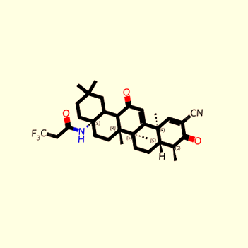 C[C@@H]1C(=O)C(C#N)=C[C@]2(C)C3=CC(=O)C4C5CC(C)(C)CC[C@]5(NC(=O)CC(F)(F)F)CC[C@@]4(C)[C@]3(C)CC[C@@H]12